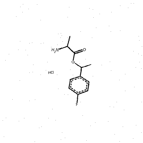 CC(N)C(=O)OC(C)c1ccc(F)cc1.Cl